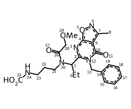 CCC(c1nc2onc(C)c2c(=O)n1Cc1ccccc1)N(CCCNC(=O)O)C(=O)COC